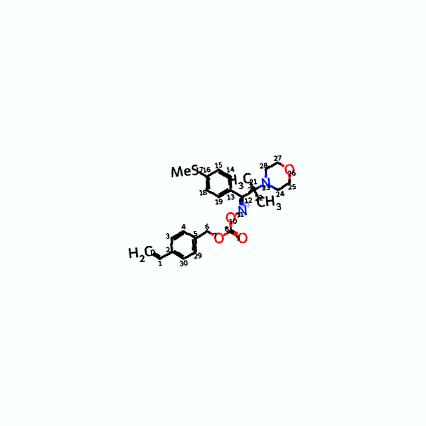 C=Cc1ccc(COC(=O)O/N=C(\c2ccc(SC)cc2)C(C)(C)N2CCOCC2)cc1